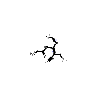 C/C=N\C(NC(=O)CC)=C(\C#N)CC